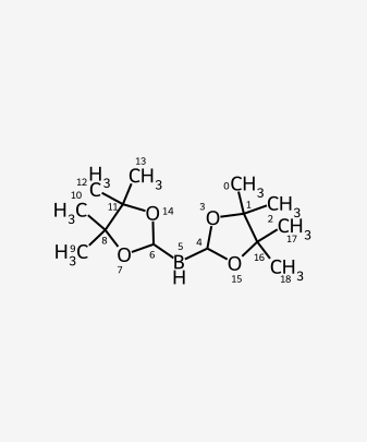 CC1(C)OC(BC2OC(C)(C)C(C)(C)O2)OC1(C)C